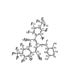 C/C(=C1\C(=C(C#N)c2c(F)c(F)c(C(F)(F)F)c(F)c2F)\C1=C(\C#N)c1c(F)c(F)c(C(F)(F)F)c(F)c1F)c1cc(C)ccc1C